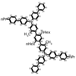 CCCCCCc1cc(-c2ccc(N(c3ccc(-c4ccccc4)cc3)c3ccc(-c4ccc(CCC)cc4)cc3)cc2C)c(CCCCCC)cc1-c1ccc(N(c2ccc(-c3ccccc3)cc2)c2ccc(-c3ccc(CCC)cc3)cc2)cc1C